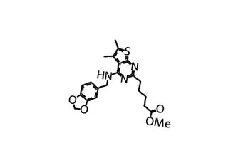 COC(=O)CCCCc1nc(NCc2ccc3c(c2)OCO3)c2c(C)c(C)sc2n1